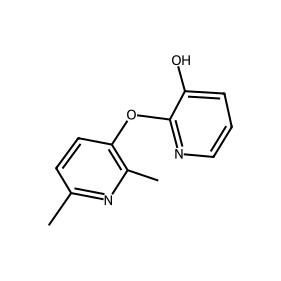 Cc1ccc(Oc2ncccc2O)c(C)n1